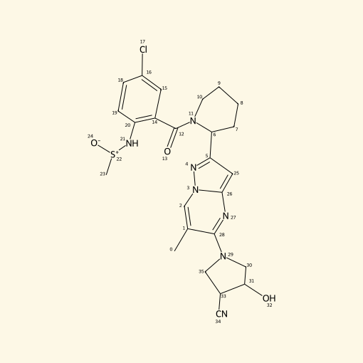 Cc1cn2nc(C3CCCCN3C(=O)c3cc(Cl)ccc3N[S+](C)[O-])cc2nc1N1CC(O)C(C#N)C1